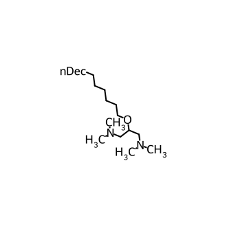 CCCCCCCCCCCCCCCCOC(CN(C)C)CN(C)C